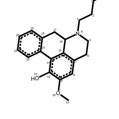 CCCCN1CCc2cc(OC)c(O)c3c2C1Cc1ccccc1-3